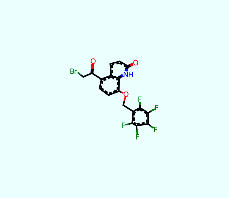 O=C(CBr)c1ccc(OCc2c(F)c(F)c(F)c(F)c2F)c2[nH]c(=O)ccc12